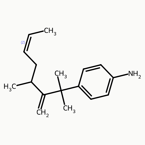 C=C(C(C)C/C=C\C)C(C)(C)c1ccc(N)cc1